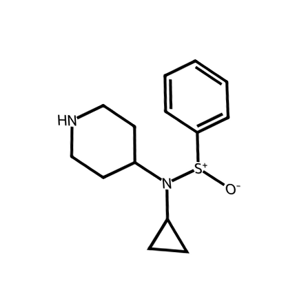 [O-][S+](c1ccccc1)N(C1CCNCC1)C1CC1